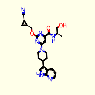 C[C@H](CO)NC(=O)c1cc(N2CCC(c3c[nH]c4ncccc34)CC2)nc(OC[C@H]2C[C@H]2C#N)n1